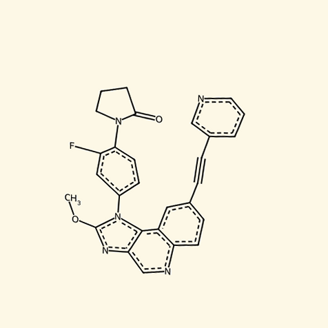 COc1nc2cnc3ccc(C#Cc4cccnc4)cc3c2n1-c1ccc(N2CCCC2=O)c(F)c1